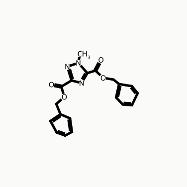 Cn1nc(C(=O)OCc2ccccc2)nc1C(=O)OCc1ccccc1